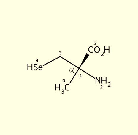 C[C@@](N)(C[SeH])C(=O)O